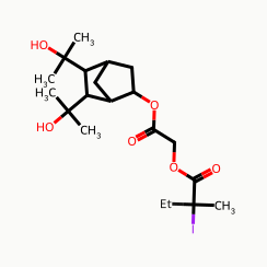 CCC(C)(I)C(=O)OCC(=O)OC1CC2CC1C(C(C)(C)O)C2C(C)(C)O